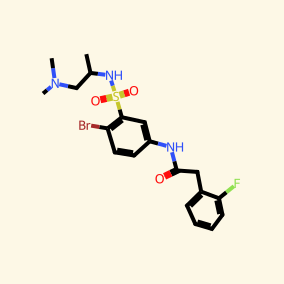 CC(CN(C)C)NS(=O)(=O)c1cc(NC(=O)Cc2ccccc2F)ccc1Br